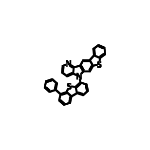 c1ccc(-c2cccc3c2sc2c(-n4c5cc6sc7ccccc7c6cc5c5ncccc54)cccc23)cc1